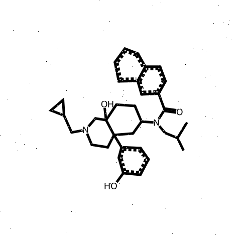 CC(C)CN(C(=O)c1ccc2ccccc2c1)C1CCC2(O)CN(CC3CC3)CCC2(c2cccc(O)c2)C1